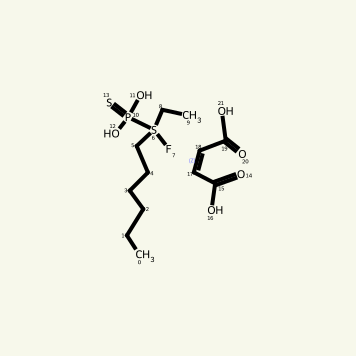 CCCCCCS(F)(CC)P(O)(O)=S.O=C(O)/C=C\C(=O)O